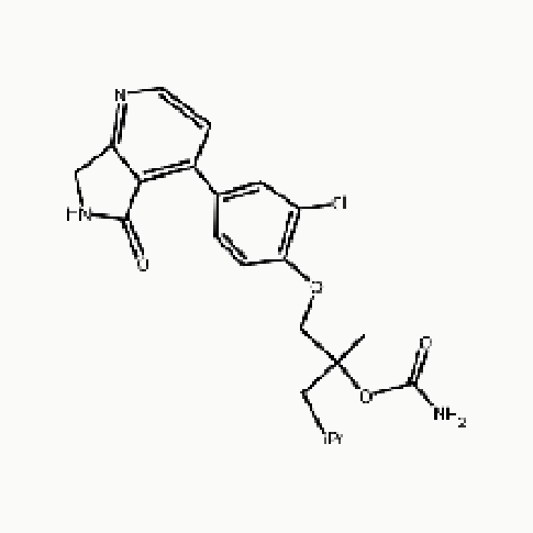 CC(C)CC(C)(COc1ccc(-c2ccnc3c2C(=O)NC3)cc1Cl)OC(N)=O